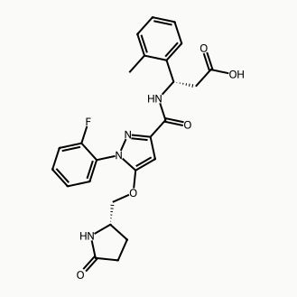 Cc1ccccc1[C@H](CC(=O)O)NC(=O)c1cc(OC[C@@H]2CCC(=O)N2)n(-c2ccccc2F)n1